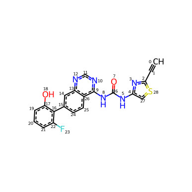 C#Cc1nc(NC(=O)Nc2ncnc3cc(-c4c(O)cccc4F)ccc23)cs1